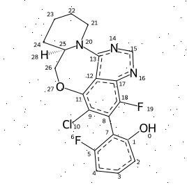 Oc1cccc(F)c1-c1c(Cl)c2c3c(ncnc3c1F)N1CCCC[C@@H]1CO2